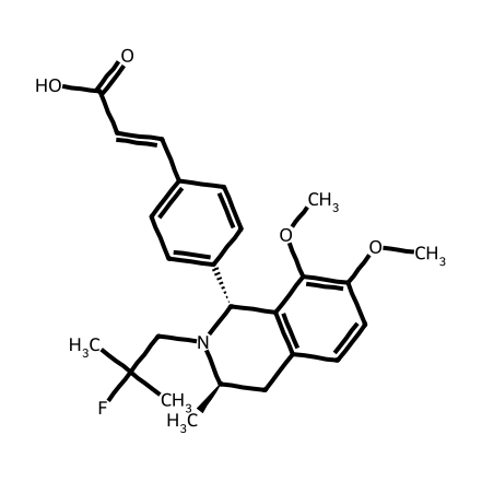 COc1ccc2c(c1OC)[C@@H](c1ccc(/C=C/C(=O)O)cc1)N(CC(C)(C)F)[C@H](C)C2